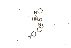 CN(C)c1ccc(-c2ccc3ccn(CC(=O)NCCN(C)C4CCCCC4)c3c2)cc1